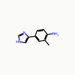 Cc1cc(-c2c[nH]cn2)ccc1N